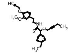 C#CCOc1ccc(CCNC(=S)C(OCC#CCC)c2ccc(CC)cc2)cc1OC